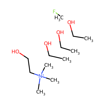 CCO.CCO.CCO.CF.C[N+](C)(C)CCO